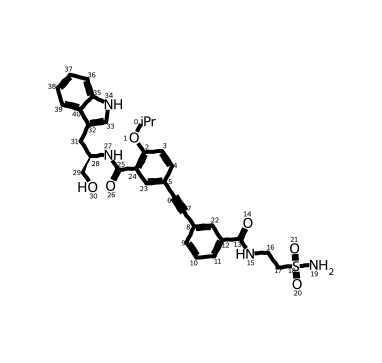 CC(C)Oc1ccc(C#Cc2cccc(C(=O)NCCS(N)(=O)=O)c2)cc1C(=O)N[C@@H](CO)Cc1c[nH]c2ccccc12